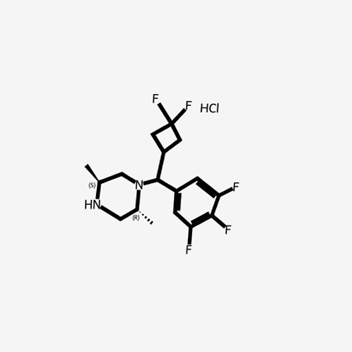 C[C@@H]1CN[C@@H](C)CN1C(c1cc(F)c(F)c(F)c1)C1CC(F)(F)C1.Cl